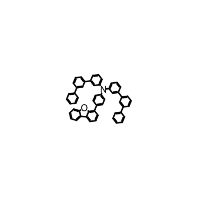 c1ccc(-c2cccc(-c3cccc(N(c4ccc(-c5cccc6c5oc5ccccc56)cc4)c4cccc(-c5cccc(-c6ccccc6)c5)c4)c3)c2)cc1